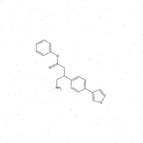 NCC(CC(=O)Oc1ccccc1)c1ccc(-c2ccsc2)cc1